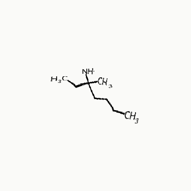 CCCCC(C)([NH])CC